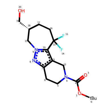 CC(C)(C)OC(=O)N1CCc2nn3c(c2C1)C(F)(F)CC[C@@H](CO)C3